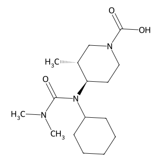 C[C@@H]1CN(C(=O)O)CC[C@H]1N(C(=O)N(C)C)C1CCCCC1